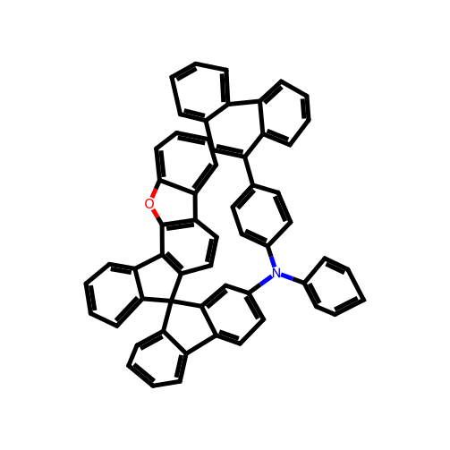 c1ccc(N(c2ccc(-c3cc4ccccc4c4ccccc34)cc2)c2ccc3c(c2)C2(c4ccccc4-3)c3ccccc3-c3c2ccc2c3oc3ccccc32)cc1